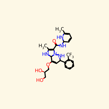 CC1=CC=CC(NC(=O)C2=C(C)NC3C(OC[C@H](O)CO)=CC(c4ccccc4C(F)(F)F)NN23)N1